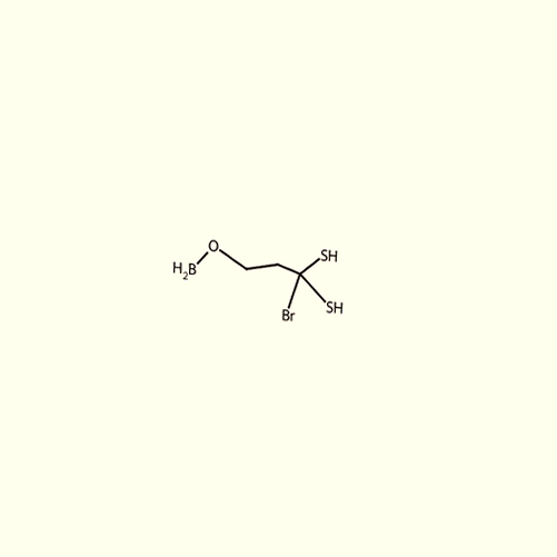 BOCCC(S)(S)Br